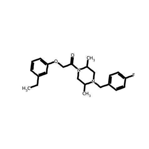 CCc1cccc(OCC(=O)N2CC(C)N(Cc3ccc(F)cc3)CC2C)c1